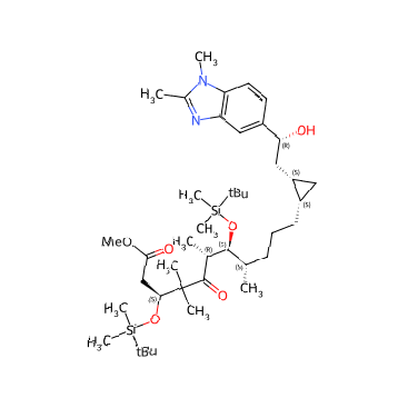 COC(=O)C[C@H](O[Si](C)(C)C(C)(C)C)C(C)(C)C(=O)[C@H](C)[C@@H](O[Si](C)(C)C(C)(C)C)[C@@H](C)CCC[C@H]1C[C@H]1C[C@@H](O)c1ccc2c(c1)nc(C)n2C